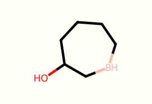 OC1CBCCCC1